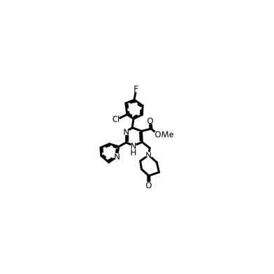 COC(=O)C1=C(CN2CCC(=O)CC2)NC(c2ccccn2)=NC1c1ccc(F)cc1Cl